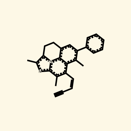 C#C/C=C\c1c(C)c2nc(C)c3n2c2c(cc(-c4ccccc4)c(C)c12)CC3